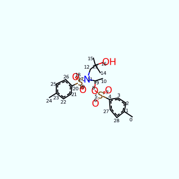 Cc1ccc(S(=O)(=O)OC(C)N(CC(C)(C)O)S(=O)(=O)c2ccc(C)cc2)cc1